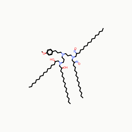 CCCCCCCCCCCCCCC(O)CN(CCCN(CCCc1ccc(OC)cc1)CCCN(CC(CCCCCCCCCCCCCC)N=O)CC(CCCCCCCCCCCCCC)N=O)CC(O)CCCCCCCCCCCCCC